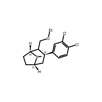 CCOCC1[C@@H](c2ccc(Cl)c(Cl)c2)C[C@@H]2CC[C@H]1N2C